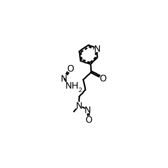 CN(CCCC(=O)c1cccnc1)N=O.NN=O